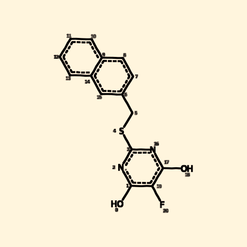 Oc1nc(SCc2ccc3ccccc3c2)nc(O)c1F